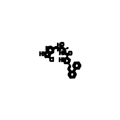 C[C@H](NC(=O)[C@H]1C[C@H](CCc2ccccc2-c2ccccc2)CN1)C(=O)NCc1cnc2[nH]cc(Cl)c2c1